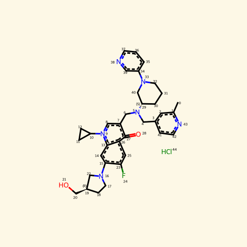 Cc1cc(CN(Cc2cn(C3CC3)c3cc(N4CC[C@@H](CO)C4)c(F)cc3c2=O)[C@H]2CCCN(c3cccnc3)C2)ccn1.Cl